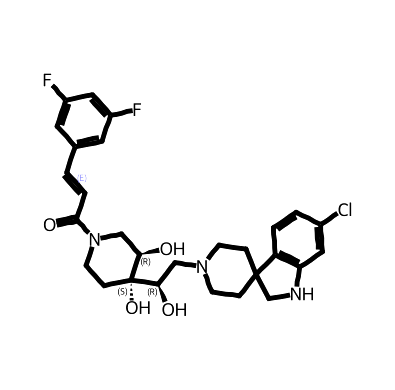 O=C(/C=C/c1cc(F)cc(F)c1)N1CC[C@](O)([C@H](O)CN2CCC3(CC2)CNc2cc(Cl)ccc23)[C@H](O)C1